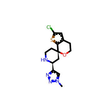 Cn1cc([C@@H]2C[C@]3(CCN2)OCCc2cc(Cl)sc23)nn1